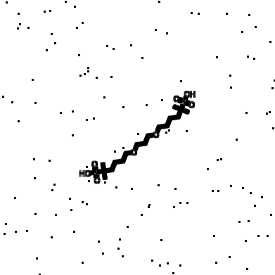 CC(C)(CCCCOCCCOCCCCC(C)(C)S(=O)(=O)O)S(=O)(=O)O